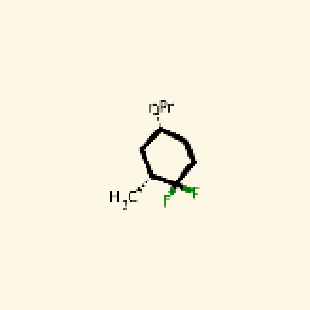 CCC[C@@H]1CCC(F)(F)[C@H](C)C1